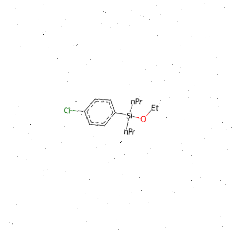 CCC[Si](CCC)(OCC)c1ccc(Cl)cc1